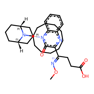 CO/N=C(\CCC(=O)O)c1nc2ccccc2n([C@H]2C[C@H]3CCC[C@@H](C2)N3C2CCCCCCCCC2)c1=O